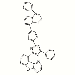 c1ccc(-c2nc(-c3ccc(-c4ccc5c6c(cccc46)-c4ccccc4-5)cc3)nc(-c3cccc4oc5cccnc5c34)n2)cc1